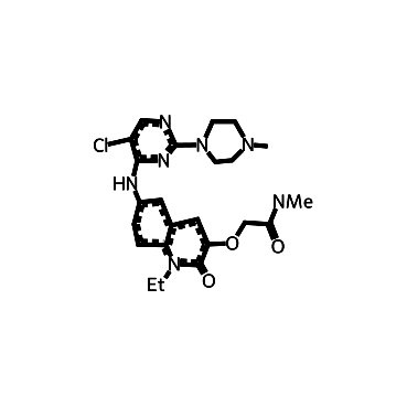 CCn1c(=O)c(OCC(=O)NC)cc2cc(Nc3nc(N4CCN(C)CC4)ncc3Cl)ccc21